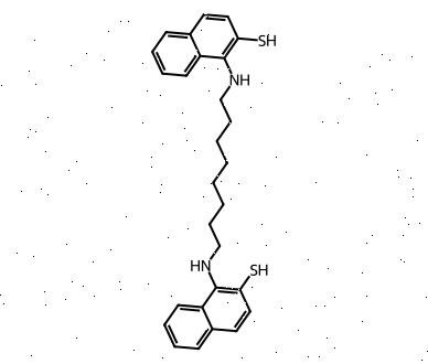 Sc1ccc2ccccc2c1NCCCCCCCCNc1c(S)ccc2ccccc12